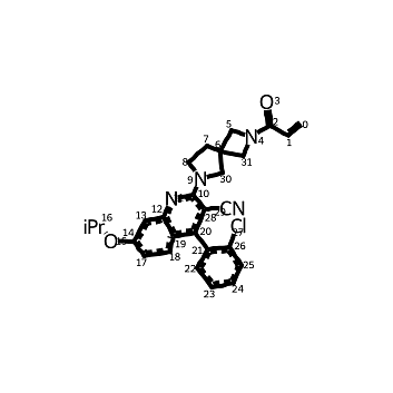 C=CC(=O)N1CC2(CCN(c3nc4cc(OC(C)C)ccc4c(-c4ccccc4Cl)c3C#N)C2)C1